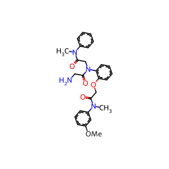 COc1cccc(N(C)C(=O)COc2ccccc2N(CC(=O)N(C)c2ccccc2)C(=O)CN)c1